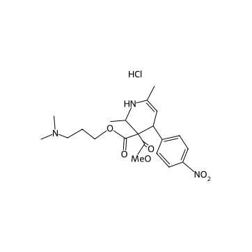 COC(=O)C1(C(=O)OCCCN(C)C)C(C)NC(C)=CC1c1ccc([N+](=O)[O-])cc1.Cl